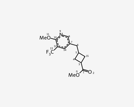 COC(=O)C1CC(Cc2cnc(OC)c(C(F)(F)F)c2)C1